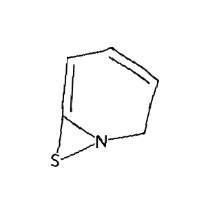 C1=CCN2SC2=C1